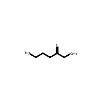 O=CCC(=O)CCCO